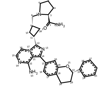 NC(=O)[C@@H]1CCCN1C[C@H]1C[C@@H](c2nc(-c3ccc4c(c3)O[C@H](c3ccccc3)CC4)c3c(N)nccn32)C1